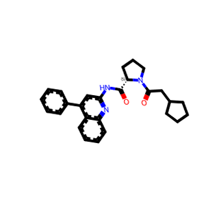 O=C(Nc1cc(-c2ccccc2)c2ccccc2n1)[C@@H]1CCCN1C(=O)CC1CCCC1